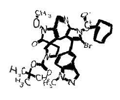 CON1C(=O)C2(CCN(C(=O)OC(C)(C)C)C2)c2c1cnc1c2c(-c2ccc3c(cnn3C)c2)c(Br)n1[S+]([O-])c1ccccc1